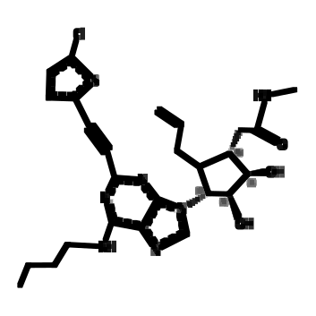 C=CCC1[C@@H](n2cnc3c(NCCCC)nc(C#Cc4ccc(Cl)s4)nc32)[C@H](O)[C@H](O)[C@H]1CC(=O)NC